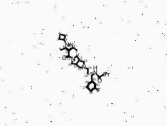 Cc1nn(C2CCC2)c(C)c1C(=O)N1CC2CN(CC[C@H](NC(=O)C(C)C)c3cccc(F)c3)CC2C1